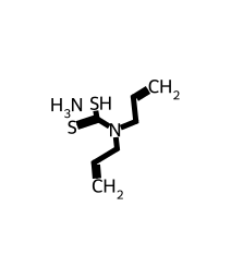 C=CCN(CC=C)C(=S)S.N